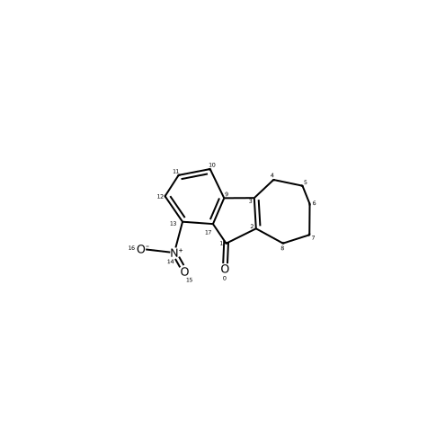 O=C1C2=C(CCCCC2)c2cccc([N+](=O)[O-])c21